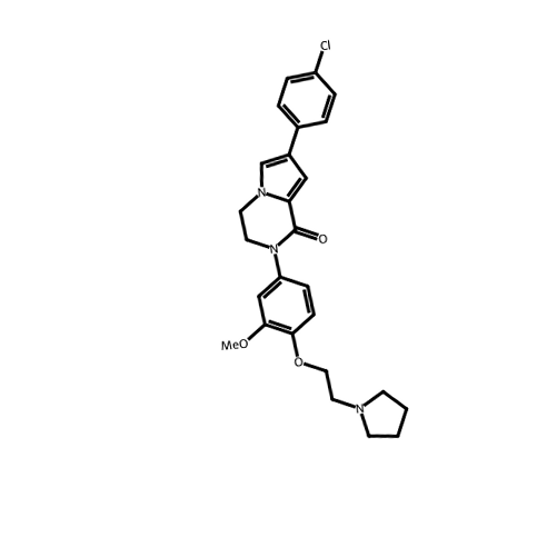 COc1cc(N2CCn3cc(-c4ccc(Cl)cc4)cc3C2=O)ccc1OCCN1CCCC1